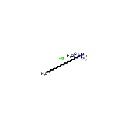 CCCCCCCCCCCCCCCCCC(CCN(C)C)N(C)C.Cl